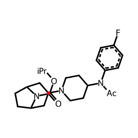 CC(=O)N(c1ccc(F)cc1)C1CCN(C2CC3CCC(C2)N3C(=O)OC(C)C)CC1